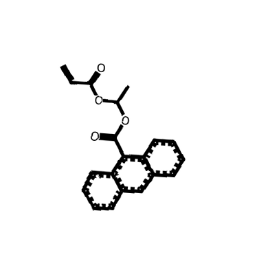 C=CC(=O)OC(C)OC(=O)c1c2ccccc2cc2ccccc12